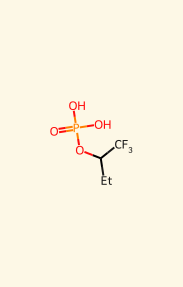 CCC(OP(=O)(O)O)C(F)(F)F